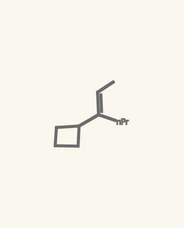 [CH2]CCC(=CC)C1CCC1